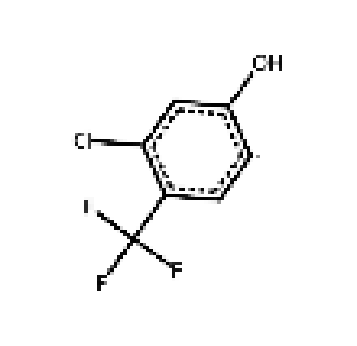 Oc1[c]cc(C(F)(F)F)c(Cl)c1